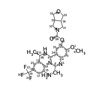 COc1cc2nc(C)nc(N[C@H](C)c3cc(N)cc(C(F)(F)F)c3)c2cc1OC(=O)N1CC2COCC2C1